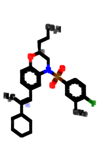 COc1cc(S(=O)(=O)N2C[C@H](CCC(=O)O)Oc3ccc(/C=C(\C)C4CCCCC4)cc32)ccc1F